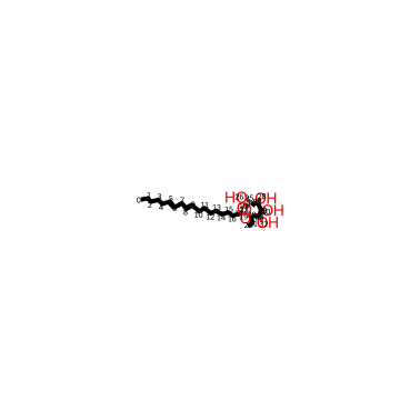 CCCCCC=CCC=CCCCCCCCC(=O)OC1(CC)O[C@H](CO)[C@@H](O)[C@H](O)[C@H]1O